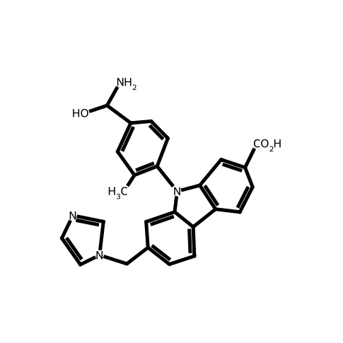 Cc1cc(C(N)O)ccc1-n1c2cc(Cn3ccnc3)ccc2c2ccc(C(=O)O)cc21